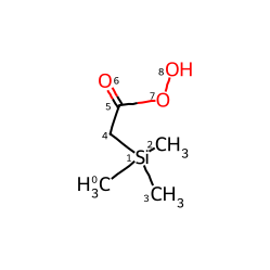 C[Si](C)(C)CC(=O)OO